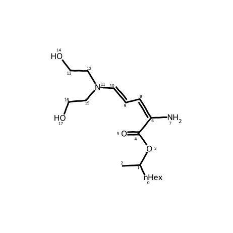 CCCCCCC(C)OC(=O)/C(N)=C\C=C\N(CCO)CCO